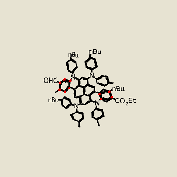 CCCCc1ccc(N(c2ccc(C)cc2)c2cc(N(c3ccc(C)cc3)c3ccc(CCCC)cc3)c3c(-c4ccc(C=O)cc4)cc4c(N(c5ccc(C)cc5)c5ccc(CCCC)cc5)cc(N(c5ccc(C)cc5)c5ccc(CCCC)cc5)c5c(-c6ccc(C(=O)OCC)cc6)cc2c3c45)cc1